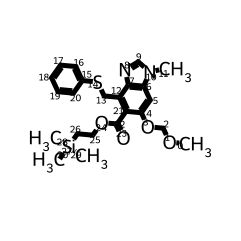 COCOc1cc2c(ncn2C)c(CSc2ccccc2)c1C(=O)OCC[Si](C)(C)C